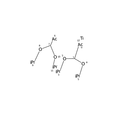 CC(=O)C(OC(C)C)OC(C)C.CC(=O)C(OC(C)C)OC(C)C.[Ti]